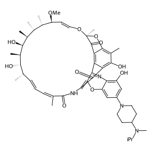 CO[C@H]1/C=C/O[C@@]2(C)Oc3c(C)c(O)c4c(=O)c(c5oc6cc(N7CCC(N(C)C(C)C)CC7)cc(O)c6nc-5c4c3C2=O)NC(=O)/C(C)=C\C=C\[C@H](C)[C@H](O)[C@@H](C)[C@@H](O)[C@@H](C)[C@H](C)[C@@H]1C